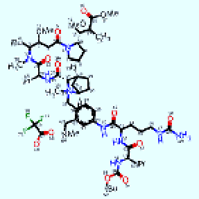 CCC(C)C(C(CC(=O)N1CCC[C@H]1C(OC)C(C)C(=O)OC)OC)N(C)C(=O)C(NC(=O)[C@@H]1[C@H]2CC[C@H](C2)[N+]1(C)Cc1ccc(NC(=O)C(CCCNC(N)=O)NC(=O)C(NC(=O)OC(C)(C)C)C(C)C)cc1CNC)C(C)C.O=C([O-])C(F)(F)F